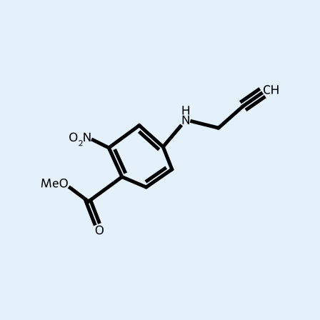 C#CCNc1ccc(C(=O)OC)c([N+](=O)[O-])c1